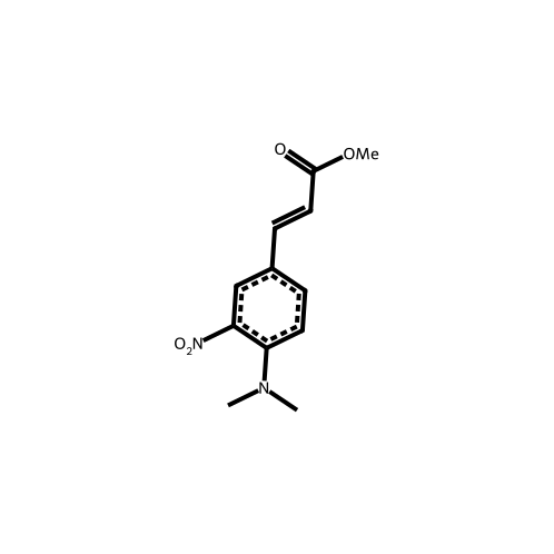 COC(=O)C=Cc1ccc(N(C)C)c([N+](=O)[O-])c1